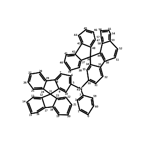 c1ccc(N(c2ccc3c(c2)C2(c4ccccc4-c4ccccc42)c2ccccc2-3)c2ccc3c(c2)C2(c4ccccc4-c4ccccc42)c2c-3ccc3ccccc23)cc1